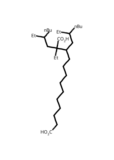 CCCCC(CC)CC(CCCCCCCCCC(=O)O)C(CC)(CC(CC)CCCC)C(=O)O